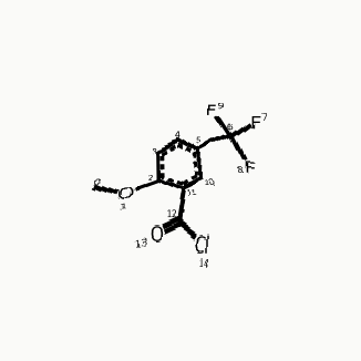 COc1ccc(C(F)(F)F)cc1C(=O)Cl